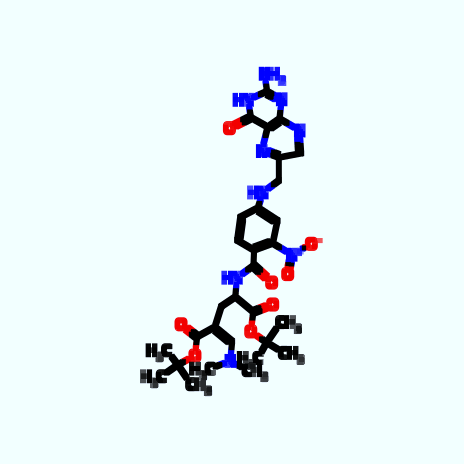 CN(C)C=C(CC(NC(=O)c1ccc(NCc2cnc3nc(N)[nH]c(=O)c3n2)cc1[N+](=O)[O-])C(=O)OC(C)(C)C)C(=O)OC(C)(C)C